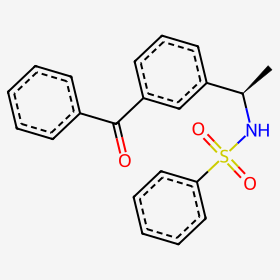 C[C@@H](NS(=O)(=O)c1ccccc1)c1cccc(C(=O)c2ccccc2)c1